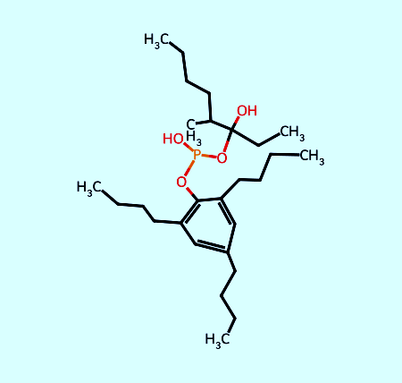 CCCCc1cc(CCCC)c(OP(O)OC(O)(CC)C(C)CCCC)c(CCCC)c1